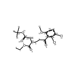 CCOC(=O)[C@H](CCC(=O)c1c(OC)ccc(Cl)c1Cl)NC(=O)OC(C)(C)C